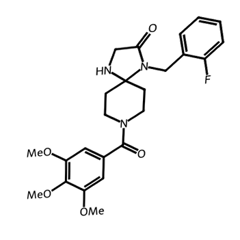 COc1cc(C(=O)N2CCC3(CC2)NCC(=O)N3Cc2ccccc2F)cc(OC)c1OC